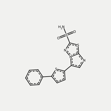 NS(=O)(=O)c1nn2c(-c3ccc(-c4ccccc4)s3)cnc2s1